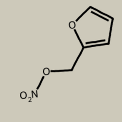 O=[N+]([O-])OCc1ccco1